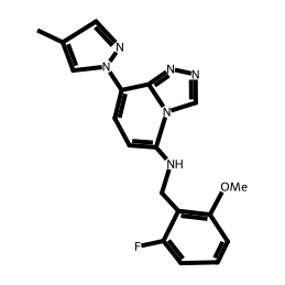 COc1cccc(F)c1CNc1ccc(-n2cc(C)cn2)c2nncn12